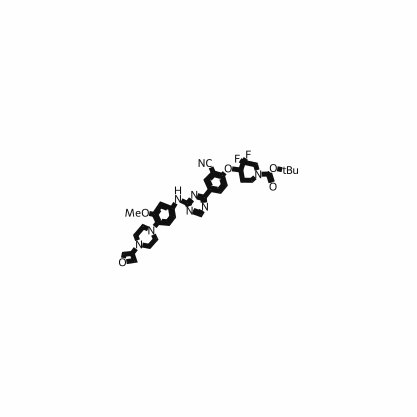 COc1cc(Nc2ncnc(-c3ccc(OC4CCN(C(=O)OC(C)(C)C)CC4(F)F)c(C#N)c3)n2)ccc1N1CCN(C2COC2)CC1